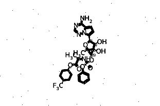 C[C@@H](NP(=O)(Oc1ccccc1)O[C@H]1[C@]2(O)[C@@H](O)[C@H](c3ccc4c(N)ncnn34)O[C@]12C)C(=O)O[C@H]1CC[C@H](C(F)(F)F)CC1